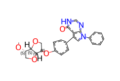 CO[C@H]1CO[C@@H]2[C@H]1OC[C@H]2Oc1ccc(-c2cn(-c3ccccc3)c3nc[nH]c(=O)c23)cc1